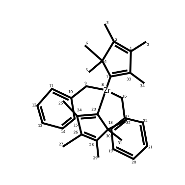 CC1=C(C)C(C)(C)[C]([Zr]([CH2]c2ccccc2)([CH2]c2ccccc2)[C]2=C(C)C(C)=C(C)C2(C)C)=C1C